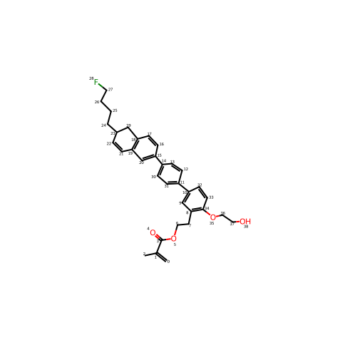 C=C(C)C(=O)OCCc1cc(-c2ccc(-c3ccc4c(c3)C=CC(CCCCF)C4)cc2)ccc1OCCO